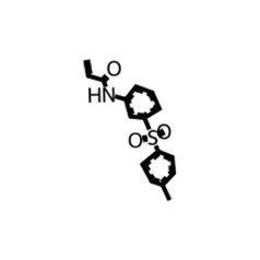 C=CC(=O)Nc1cccc(S(=O)(=O)c2ccc(C)cc2)c1